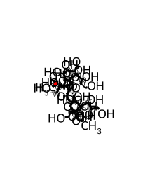 CC(=O)N[C@H]1[C@H]([C@H](O)[C@H](O)CO)O[C@](O)(C[C@]2(OC3O[C@H](CO)[C@H](O)[C@H](O)[C@H]3NC(C)=O)[C](C3O[C@H](CO)[C@H](O)[C@H](O)[C@H]3O)O[C@H](CO)[C@@H](O)[C@@]2(O)C2O[C@H](CO)[C@H](O)[C@H](O)[C@H]2O)C[C@@H]1O